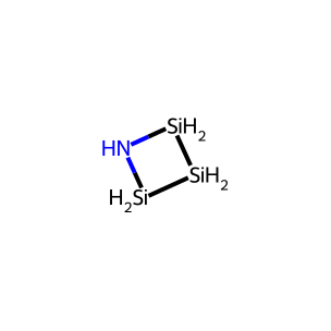 N1[SiH2][SiH2][SiH2]1